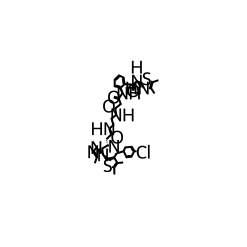 CC1=C(C)SC(NC(=O)c2ccccc2NC(=O)CC(=O)NCCNC(=O)C[C@@H]2N=C(C3C=CC(Cl)=CC3)c3c(sc(C)c3C)-n3c(C)nnc32)N1